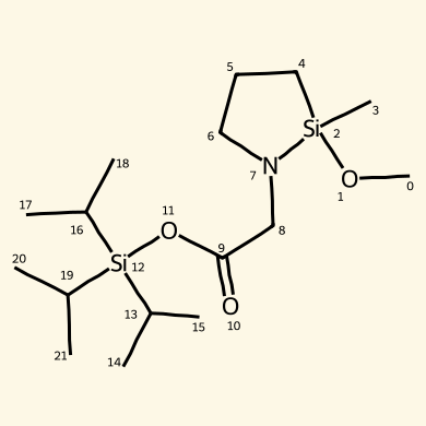 CO[Si]1(C)CCCN1CC(=O)O[Si](C(C)C)(C(C)C)C(C)C